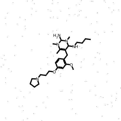 CCCCNC1C(Cc2ccc(OCCCN3CCCC3)cc2OC)=C(C)N(C)C(N)N1C